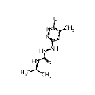 Cc1cc(NNC(=S)NC(C)C)nnc1Cl